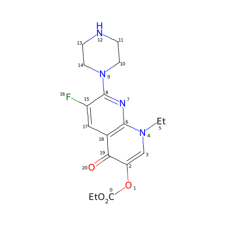 CCOC(=O)Oc1cn(CC)c2nc(N3CCNCC3)c(F)cc2c1=O